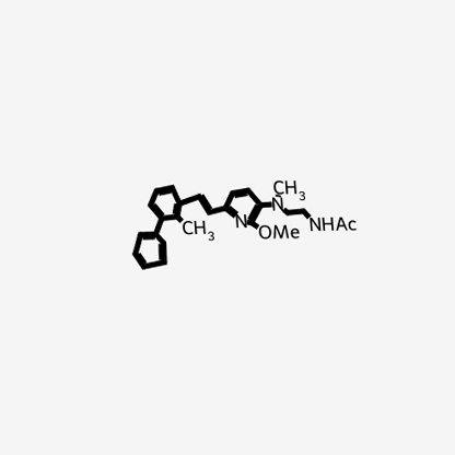 COc1nc(C=Cc2cccc(-c3ccccc3)c2C)ccc1N(C)CCNC(C)=O